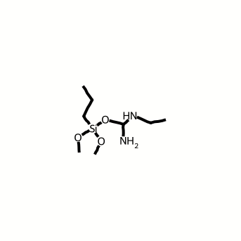 CCC[Si](OC)(OC)OC(N)NCC